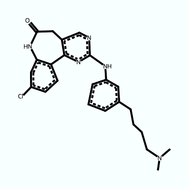 CN(C)CCCCc1cccc(Nc2ncc3c(n2)-c2ccc(Cl)cc2NC(=O)C3)c1